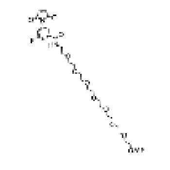 COCCOCCOCCOCCOCCOCCOCCOCCNC(=O)c1cc(F)cc(N2C(=O)C=CC2=O)c1